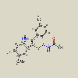 CCCC(=O)NCCc1c(-c2cccc(CC)c2)[nH]c2cc(F)c(OC)cc12